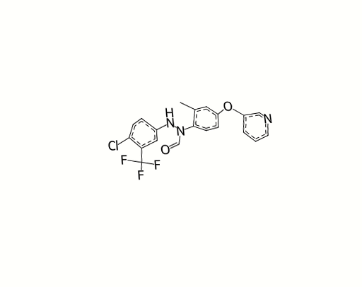 Cc1cc(Oc2cccnc2)ccc1N(C=O)Nc1ccc(Cl)c(C(F)(F)F)c1